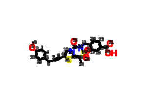 COc1ccc(CC#CC2=CN3C(=O)N(Cc4ccc(C(=O)O)cc4)S(=O)(=O)C(C)=C3S2)cc1